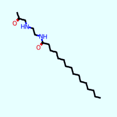 CCCCCCCCCCCCCCCC(=O)NCCNCC(C)=O